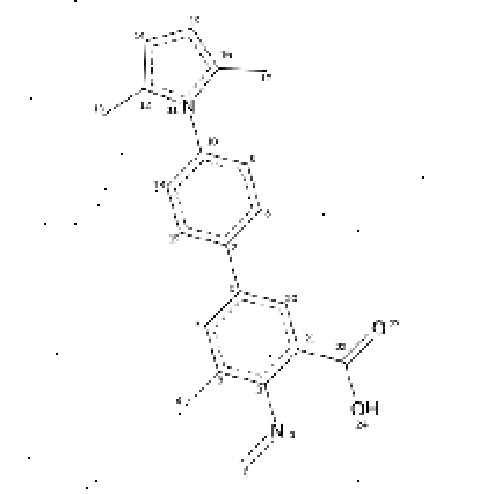 C=Nc1c(C)cc(-c2ccc(-n3c(C)ccc3C)cc2)cc1C(=O)O